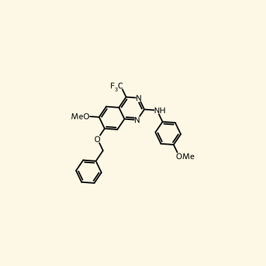 COc1ccc(Nc2nc(C(F)(F)F)c3cc(OC)c(OCc4ccccc4)cc3n2)cc1